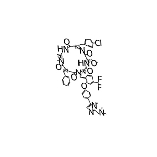 COC[C@@H]1NC(=O)[C@@H](C)N(Cc2ccc(C(F)F)cc2Oc2ccc(-c3cnc(CN(C)C)n3C)cc2)C(=O)C[C@@H](Cc2ccccc2)C(=O)N(C)[C@@H](C)CNC(=O)C[C@H](Cc2ccc(Cl)cc2)N(C)C1=O